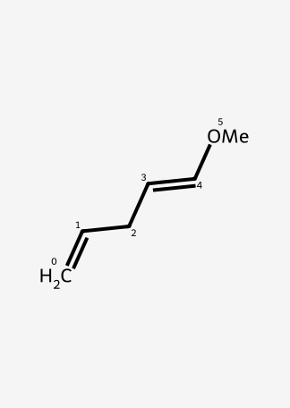 C=CCC=COC